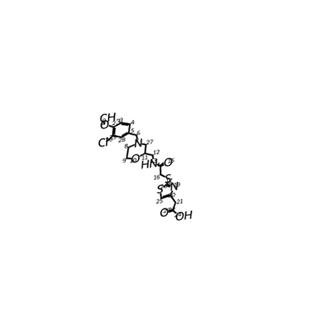 COc1ccc(CN2CCOC(CNC(=O)CSc3nc(CC(=O)O)cs3)C2)cc1Cl